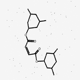 CC1CC(C)CC(OC(=O)/C=C\C(=O)OC2CC(C)CC(C)C2)C1